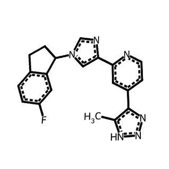 Cc1[nH]nnc1-c1ccnc(-c2cn(C3CCc4ccc(F)cc43)cn2)c1